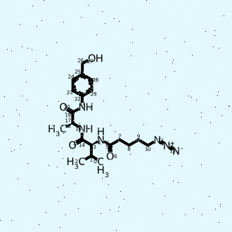 CC(C)[C@H](NC(=O)CCCCN=[N+]=[N-])C(=O)N[C@@H](C)C(=O)Nc1ccc(CO)cc1